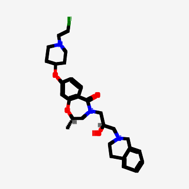 C[C@H]1CN(C[C@H](O)CN2CCc3ccccc3C2)C(=O)c2ccc(OC3CCN(CCF)CC3)cc2O1